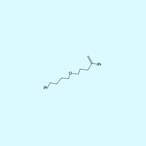 C=C(CCCOCCCCC(C)C)C(C)C